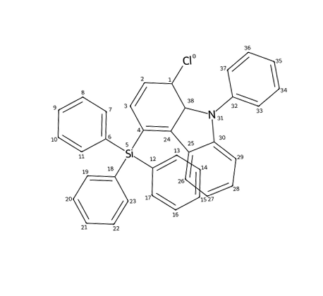 ClC1C=CC([Si](c2ccccc2)(c2ccccc2)c2ccccc2)=C2c3ccccc3N(c3ccccc3)C21